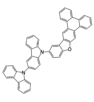 c1ccc2c(c1)c1ccccc1c1cc3c(cc21)oc1ccc(-n2c4ccccc4c4cc(-n5c6ccccc6c6ccccc65)ccc42)cc13